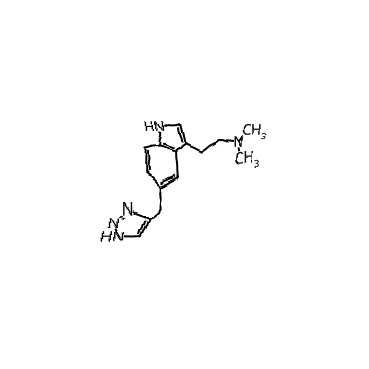 CN(C)CCc1c[nH]c2ccc(Cc3c[nH]nn3)cc12